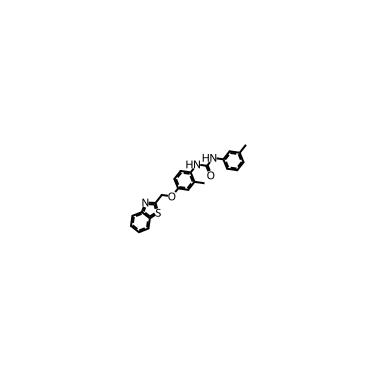 Cc1cccc(NC(=O)Nc2ccc(OCc3nc4ccccc4s3)cc2C)c1